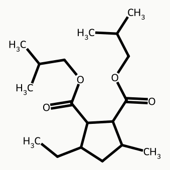 CCC1CC(C)C(C(=O)OCC(C)C)C1C(=O)OCC(C)C